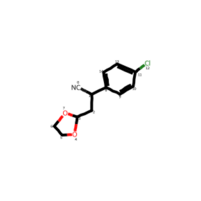 N#CC(CC1OCCO1)c1ccc(Cl)cc1